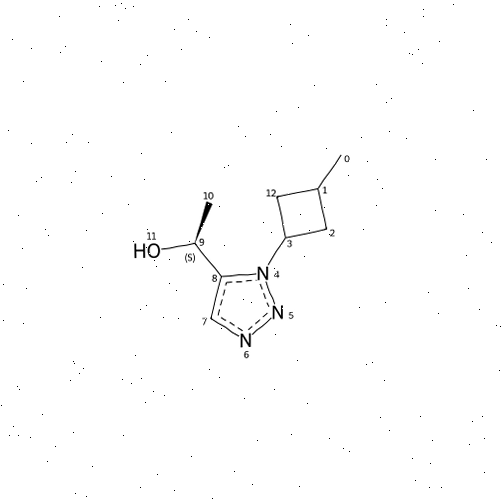 CC1CC(n2nncc2[C@H](C)O)C1